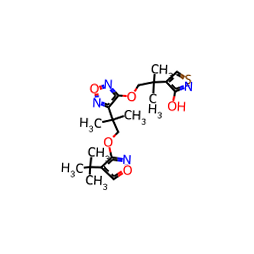 CC(C)(C)c1conc1OCC(C)(C)c1nonc1OCC(C)(C)c1csnc1O